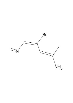 C=N/C=C(Br)\C=C(/C)N